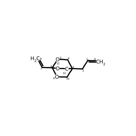 C=CCC12COC(C=C)(OC1)OC2